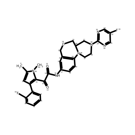 Cc1cc(-c2ccccc2F)c(C(=O)C(=O)Nc2ccc3c(c2)COCC2CN(c4ncc(F)cn4)CCN32)n1C